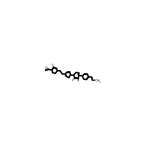 CCCC1=CCC(C2=CCC(C3C=CC(CCC4C=C(F)C(C5CO5)CC4)=CC3)C(F)=C2F)C=C1